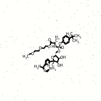 CCOCCOCCOC(=O)[C@H](C)NP(=O)(OC[C@H]1O[C@@](C)(c2ccc3c(N)ncnn23)[C@H](O)[C@@H]1O)Oc1ccc(C(C)(C)C)cc1